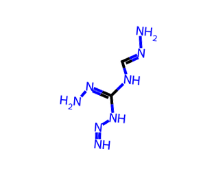 N=NNC(=NN)NC=NN